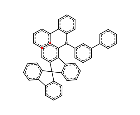 c1ccc(-c2cccc(N(c3ccccc3-c3ccccc3)c3cccc4c3-c3ccccc3C43c4ccccc4-c4ccccc43)c2)cc1